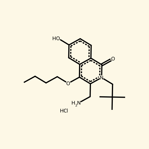 CCCCOc1c(CN)n(CC(C)(C)C)c(=O)c2ccc(O)cc12.Cl